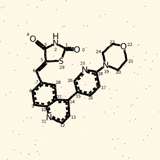 O=C1NC(=O)C(=Cc2ccc3nccc(-c4ccc(N5CCOCC5)nc4)c3c2)S1